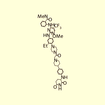 CCc1cc(Nc2ncc(C(F)(F)F)c(Nc3ccccc3C(=O)NC)n2)c(OC)cc1N1CCN(C(=O)CN2CCC(c3ccc(NC4CCC(=O)NC4=O)cc3)CC2)CC1